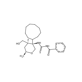 C[C@H]1C[C@@](F)(CO)[C@](NC(=S)NC(=O)c2ccccc2)(C2CCCCCCCC2)CO1